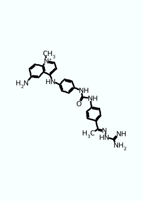 C/C(=N\NC(=N)N)c1ccc(NC(=O)Nc2ccc(Nc3cc[n+](C)c4ccc(N)cc34)cc2)cc1